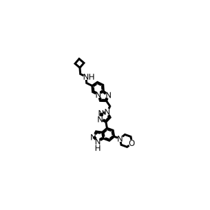 c1cc2nc(Cn3cc(-c4cc(N5CCOCC5)cc5[nH]ncc45)nn3)cn2cc1CNCC1CCC1